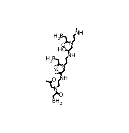 BCC(=O)N(CCNC(=O)CN(CCNC(O)CN(CCNC)C(=O)CB)C(=O)CB)CC(C)=O